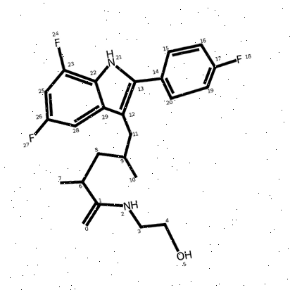 C=C(NCCO)C(C)CC(C)Cc1c(-c2ccc(F)cc2)[nH]c2c(F)cc(F)cc12